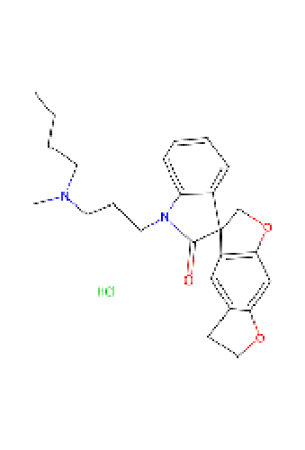 CCCCN(C)CCCN1C(=O)C2(COc3cc4c(cc32)CCO4)c2ccccc21.Cl